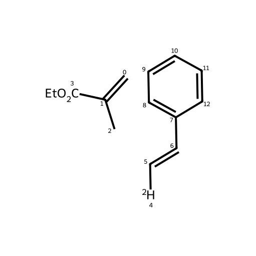 C=C(C)C(=O)OCC.[2H]/C=C/c1ccccc1